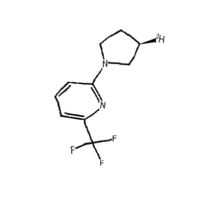 [2H][C@@H]1CCN(c2cccc(C(F)(F)F)n2)C1